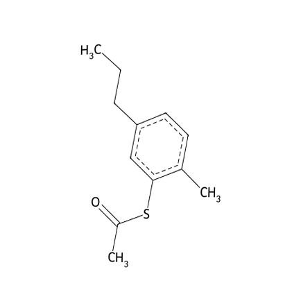 CCCc1ccc(C)c(SC(C)=O)c1